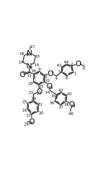 COc1ccc(COc2cc(C(=O)N3CCN(C)CC3)cc(OCc3ccc(OC)cc3)c2OCc2ccc(OC)cc2)cc1